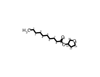 CCCCCCCCCC(=O)OC1CCOC1